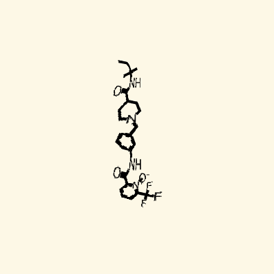 CCC(C)(C)NC(=O)C1CCN(Cc2cccc(NC(=O)c3cccc(C(F)(F)F)[n+]3[O-])c2)CC1